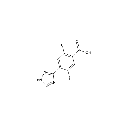 O=C(O)c1cc(F)c(-c2nn[nH]n2)cc1F